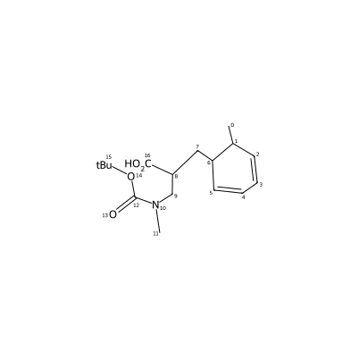 CC1C=CC=CC1CC(CN(C)C(=O)OC(C)(C)C)C(=O)O